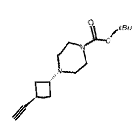 C#C[C@H]1C[C@H](N2CCN(C(=O)OC(C)(C)C)CC2)C1